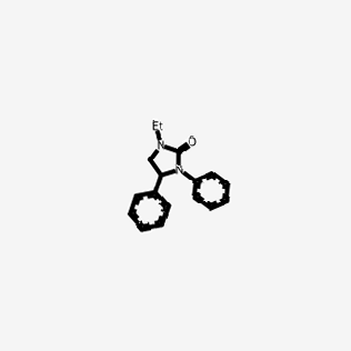 CCN1CC(c2ccccc2)N(c2ccccc2)C1=O